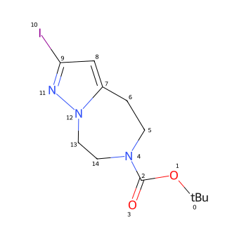 CC(C)(C)OC(=O)N1CCc2cc(I)nn2CC1